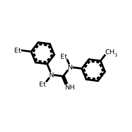 CCc1cccc(N(CC)C(=N)N(CC)c2cccc(C)c2)c1